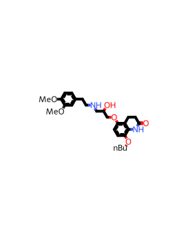 CCCCOc1ccc(OCC(O)CNCCc2ccc(OC)c(OC)c2)c2c1NC(=O)CC2